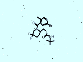 Cc1cnc(Br)cc1C(=O)N1CC(F)(F)CCC1COC(=O)NC(C)(C)C